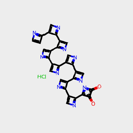 Cl.O=c1nc(C2=NC=C2C2=NC=C2C2=NC=C2C2=NC=C2C2=NC=C2C2=NC=C2C2=NC=C2C2=NC=C2C2=NC=C2)c1=O